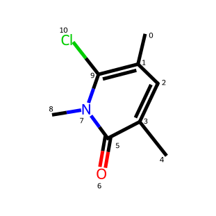 Cc1cc(C)c(=O)n(C)c1Cl